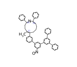 C/C1=C(\c2cccc(-c3cc(N=O)cc(-c4cc(-c5ccccc5)cc(-c5ccccc5)c4)c3)c2)CCC/C=C(c2ccccc2)\N=C(\c2ccccc2)CC1